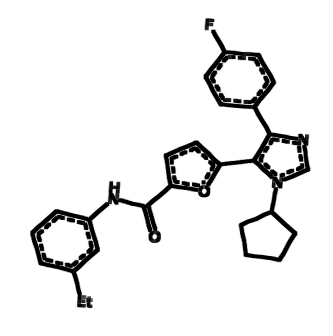 CCc1cccc(NC(=O)c2ccc(-c3c(-c4ccc(F)cc4)ncn3C3CCCC3)o2)c1